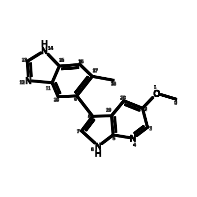 COc1cnc2[nH]cc(-c3cc4nc[nH]c4cc3C)c2c1